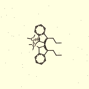 CCCC1=C(C)[CH]([Zr]([CH3])([CH3])([CH]2C(C)=C(CCC)c3ccccc32)[GeH]([CH3])[CH3])c2ccccc21